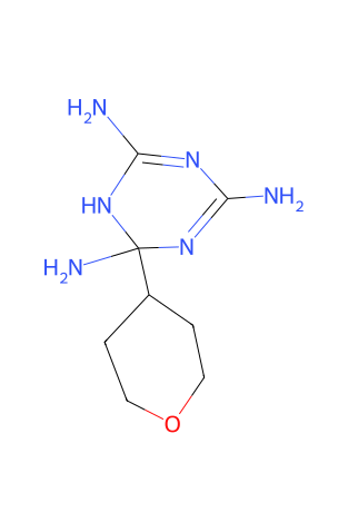 NC1=NC(N)(C2CCOCC2)NC(N)=N1